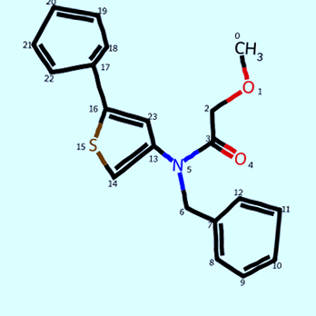 COCC(=O)N(Cc1ccccc1)c1csc(-c2ccccc2)c1